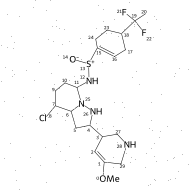 COC1=CC(C2CC3C(Cl)CCC(N[S+]([O-])C4=CCC(C(C)(F)F)CC4)N3N2)CNC1